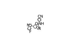 CN1CC(C(=O)Nc2ccc(C#N)cc2)C2(CCC(c3ccnc4ccc(F)cc34)CC2)C1